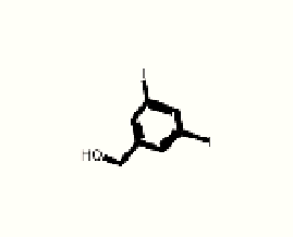 O[CH]c1cc(I)cc(I)c1